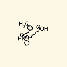 Cc1cccc(C=CS(=O)(=O)NC2CCCCC2CC=CCCCC(=O)O)c1